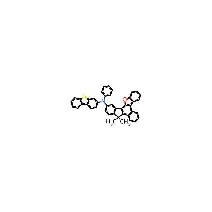 CC1(C)c2ccc(N(c3ccccc3)c3ccc4c(c3)sc3ccccc34)cc2-c2c1c1ccccc1c1c2oc2ccccc21